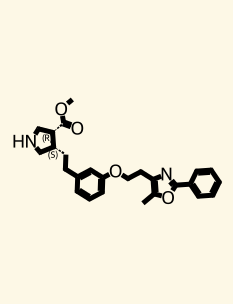 COC(=O)[C@H]1CNC[C@H]1CCc1cccc(OCCc2nc(-c3ccccc3)oc2C)c1